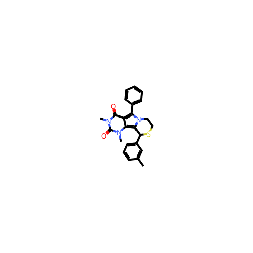 Cc1cccc(C2SCCn3c(-c4ccccc4)c4c(=O)n(C)c(=O)n(C)c4c32)c1